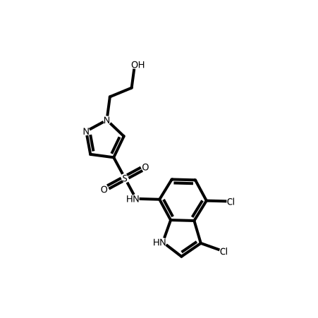 O=S(=O)(Nc1ccc(Cl)c2c(Cl)c[nH]c12)c1cnn(CCO)c1